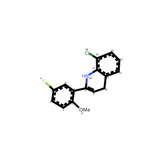 COc1ccc(F)cc1C1=[C]Cc2cccc(Cl)c2N1